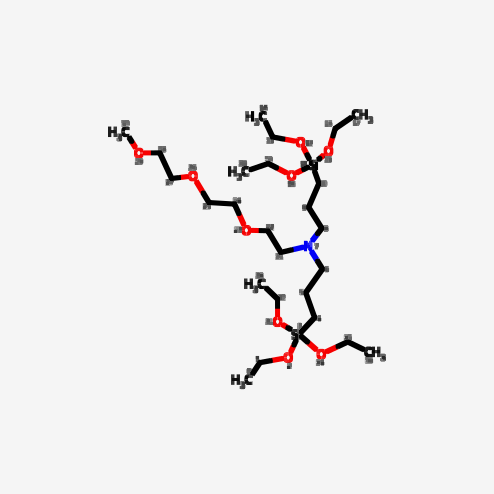 CCO[Si](CCCN(CCC[Si](OCC)(OCC)OCC)CCOCCOCCOC)(OCC)OCC